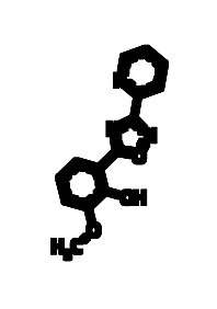 COc1cccc(-c2nc(-c3ccccn3)no2)c1O